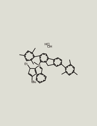 CCC1C=C(C(C)(C)C)C=[C]1[Zr]([CH3])(=[CH]c1ccccc1)[c]1c(-c2c(C)cc(C)cc2C)ccc2c1Cc1cc(-c3c(C)cc(C)cc3C)ccc1-2.Cl.Cl